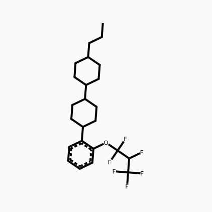 CCCC1CCC(C2CCC(c3ccccc3OC(F)(F)C(F)C(F)(F)F)CC2)CC1